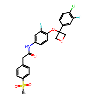 CCS(=O)(=O)c1ccc(CC(=O)Nc2ccc(OC3(c4ccc(Cl)c(F)c4)COC3)c(F)c2)cc1